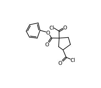 O=C(Cl)C1CCC(C(=O)Cl)(C(=O)Oc2ccccc2)C1